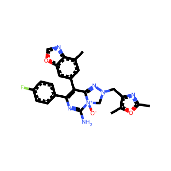 Cc1nc(CN2C[N+]3([O-])C(N)=NC(c4ccc(F)cc4)=C(c4cc(C)c5ncoc5c4)C3=N2)c(C)o1